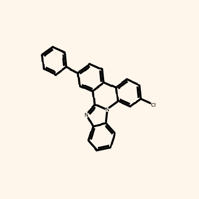 Clc1ccc2c3ccc(-c4ccccc4)cc3c3nc4ccccc4n3c2c1